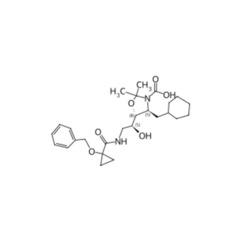 CC1(C)O[C@@H]([C@@H](O)CNC(=O)C2(OCc3ccccc3)CC2)[C@H](CC2CCCCC2)N1C(=O)O